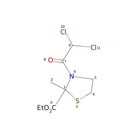 CCOC(=O)C1(C)SCCN1C(=O)C(Cl)Cl